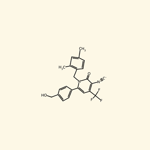 [C-]#[N+]c1c(C(F)(F)F)cc(-c2ccc(CO)cc2)n(Cc2ccc(C)cc2C)c1=O